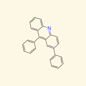 c1ccc(-c2ccc3nc4ccccc4c(-c4ccccc4)c3c2)cc1